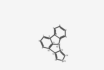 c1ccc2c(c1)c1cccc3c4cscc4n2c13